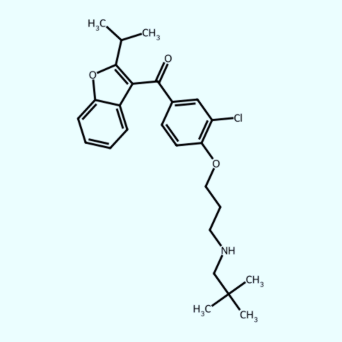 CC(C)c1oc2ccccc2c1C(=O)c1ccc(OCCCNCC(C)(C)C)c(Cl)c1